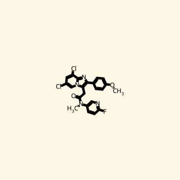 COc1ccc(-c2nc3c(Cl)cc(Cl)cn3c2CC(=O)N(C)c2ccc(F)nc2)cc1